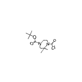 CC(C)(C)OC(=O)N1CCN(C(=O)Cl)C(C)(C)C1